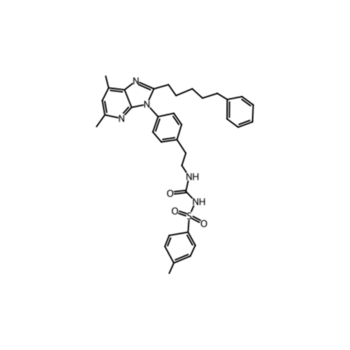 Cc1ccc(S(=O)(=O)NC(=O)NCCc2ccc(-n3c(CCCCCc4ccccc4)nc4c(C)cc(C)nc43)cc2)cc1